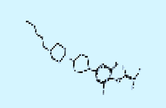 CCCCC[C@H]1CC[C@H](C2CCC(c3cc(F)c(OC(F)=C(F)F)c(F)c3)CC2)CC1